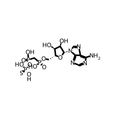 Nc1ncnc2c1ncn2[C@@H]1O[C@H](COP(=O)(O)CP(=O)(O)OP(O)(O)=S)[C@@H](O)[C@H]1O